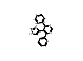 [c]1nc(-c2ccccn2)c(-c2c[nH]nn2)c(-c2ccccn2)n1